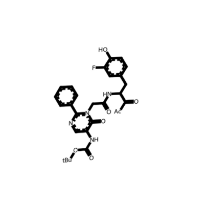 CC(=O)C(=O)C(Cc1ccc(O)c(F)c1)NC(=O)Cn1c(-c2ccccc2)ncc(NC(=O)OC(C)(C)C)c1=O